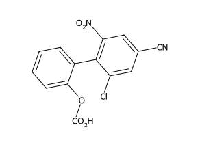 N#Cc1cc(Cl)c(-c2ccccc2OC(=O)O)c([N+](=O)[O-])c1